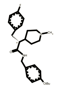 CC(C)COc1ccc(CNC(=O)[C@H](Cc2ccc(F)cc2)C2CCN(C)CC2)cc1